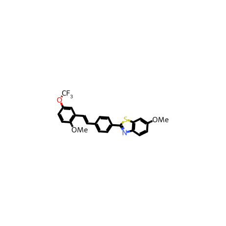 COc1ccc2nc(-c3ccc(C=Cc4cc(OC(F)(F)F)ccc4OC)cc3)sc2c1